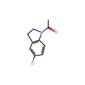 [CH2]C(=O)N1CCc2cc(Cl)ccc21